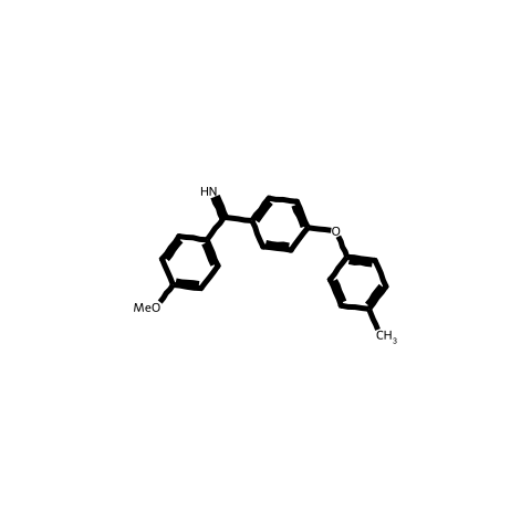 COc1ccc(C(=N)c2ccc(Oc3ccc(C)cc3)cc2)cc1